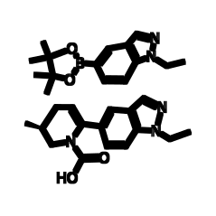 CCn1ncc2cc(B3OC(C)(C)C(C)(C)O3)ccc21.CCn1ncc2cc(C3=CC[C@H](C)CN3C(=O)O)ccc21